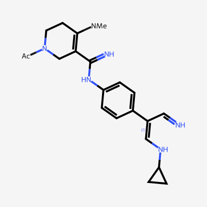 CNC1=C(C(=N)Nc2ccc(/C(C=N)=C/NC3CC3)cc2)CN(C(C)=O)CC1